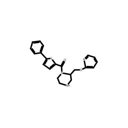 O=C(c1ccc(-c2ccccc2)s1)N1CCNCC1COc1ccccn1